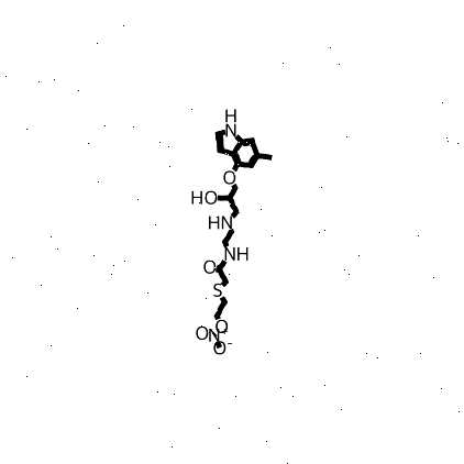 Cc1cc(OCC(O)CNCCNC(=O)CSCCO[N+](=O)[O-])c2cc[nH]c2c1